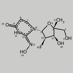 C[C@]1(CO)O[C@@H](n2ccc(=O)[nH]/c2=N\O)[C@H](F)[C@@H]1O